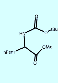 CCCCCC(NC(=O)OC(C)(C)C)C(=O)OC